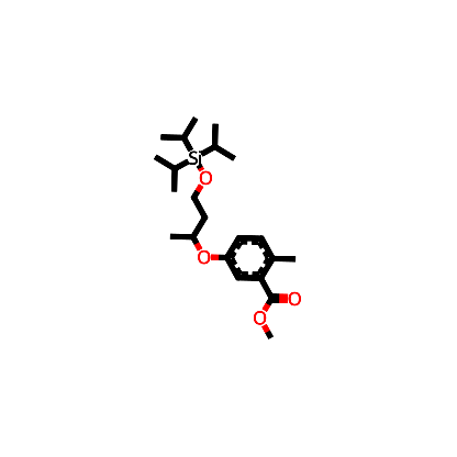 COC(=O)c1cc(OC(C)CCO[Si](C(C)C)(C(C)C)C(C)C)ccc1C